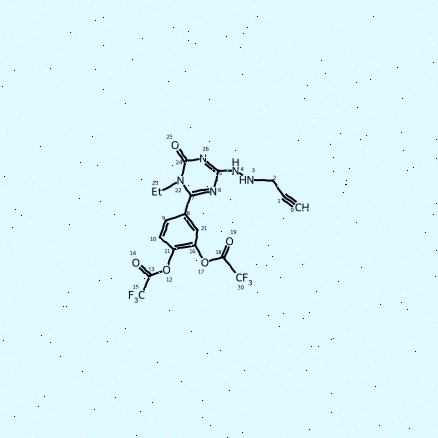 C#CCNNc1nc(-c2ccc(OC(=O)C(F)(F)F)c(OC(=O)C(F)(F)F)c2)n(CC)c(=O)n1